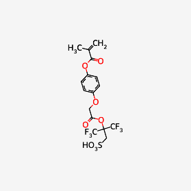 C=C(C)C(=O)Oc1ccc(OCC(=O)OC(CS(=O)(=O)O)(C(F)(F)F)C(F)(F)F)cc1